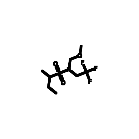 CCC(C)S(=O)(=O)N(COC)CC(F)(F)F